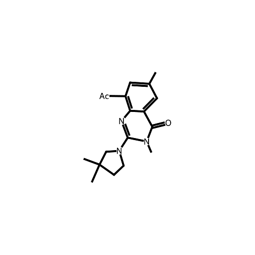 CC(=O)c1cc(C)cc2c(=O)n(C)c(N3CCC(C)(C)C3)nc12